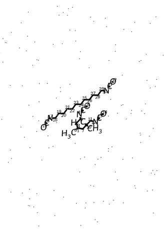 CC(CCN=C=O)CC(C)(C)CN=C=O.O=C=NCCCCCCCCCCCCN=C=O